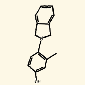 Cc1cc(O)ccc1N1Cc2ccccc2C1